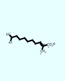 CCC(CC)CCCCCCC=C(C)C(=O)O